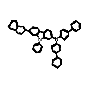 c1ccc(-c2ccc(N(c3ccc(-c4ccccc4)cc3)c3ccc4c5ccc(-c6ccc7ccccc7c6)cc5n(-c5ccccc5)c4c3)cc2)cc1